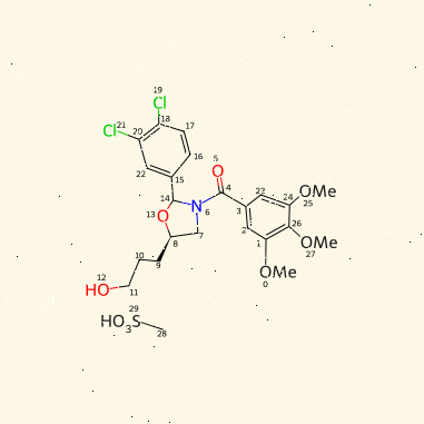 COc1cc(C(=O)N2C[C@@H](CCCO)OC2c2ccc(Cl)c(Cl)c2)cc(OC)c1OC.CS(=O)(=O)O